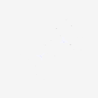 Cc1cccc(N(c2ccccc2)c2ccc(-n3c4ccccc4c4ccccc43)cc2)c1